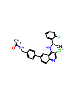 CC(=O)NCc1ccc(-c2ccc3ncc(Cl)c(N[C@H](C)c4ccccc4F)c3c2)cc1